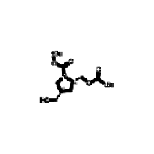 CC(C)(C)OC(=O)N1C[C@@H](CO)C[C@H]1COC(=O)C(C)(C)C